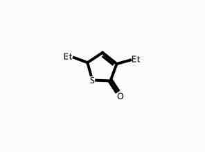 CCC1=CC(CC)SC1=O